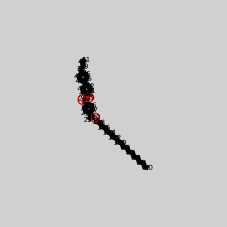 CCCCCCCCCCCCCCCCCCCCOC(C)c1ccc(C(=O)Oc2ccc(-c3ccc(CCCC)cc3)cc2)cc1